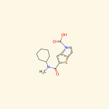 CN(C(=O)c1cc2c(ccn2C(=O)O)s1)C1CCCCC1